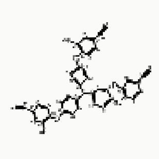 C#Cc1ccc(Oc2ccc(C(c3ccc(Oc4ccc(C#C)cc4F)cc3)c3ccc(Oc4ccc(C#C)cc4F)cc3)cc2)c(F)c1